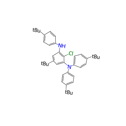 CC(C)(C)c1ccc(Nc2cc(C(C)(C)C)cc(N(c3ccc(C(C)(C)C)cc3)c3ccc(C(C)(C)C)cc3)c2Cl)cc1